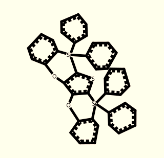 c1ccc([Si]2(c3ccccc3)c3ccccc3Oc3c2sc2c3Oc3ccccc3[Si]2(c2ccccc2)c2ccccc2)cc1